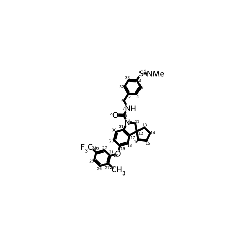 CNSc1ccc(CNC(=O)N2CC3(CCCC3)c3cc(Oc4cc(C(F)(F)F)ccc4C)ccc32)cc1